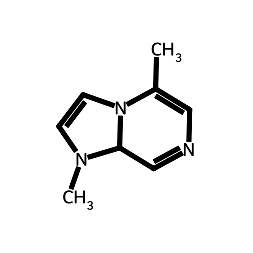 CC1=CN=CC2N(C)C=CN12